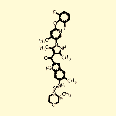 CC1=C(C(=O)c2cc3cc(C)c(NSN4CCOC[C@H]4C)cc3[nH]2)C(C)NN1c1cnc(Oc2c(F)cccc2F)cc1C